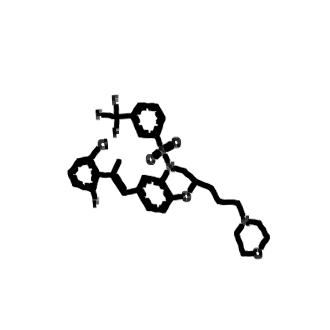 CC(=Cc1ccc2c(c1)N(S(=O)(=O)c1cccc(C(F)(F)F)c1)CC(CCCN1CCOCC1)O2)c1c(F)cccc1Cl